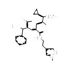 CC/C(C)=C(/C=C(\C=C(/C)C(NC)=C1CC1)C(=O)NCCc1cnn(C)c1)C(O)c1ccccc1